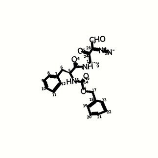 C[C@H](NC(=O)[C@H](Cc1ccccc1)NC(=O)OCc1ccccc1)C(=O)C(C=O)=[N+]=[N-]